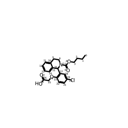 CCCCOC(=O)N1CCc2ccccc2C1c1cc(Cl)ccc1OCC(=O)O